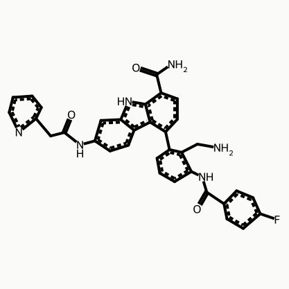 NCc1c(NC(=O)c2ccc(F)cc2)cccc1-c1ccc(C(N)=O)c2[nH]c3cc(NC(=O)Cc4ccccn4)ccc3c12